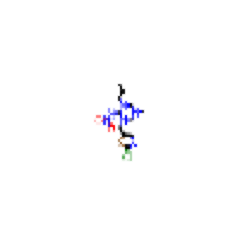 CCCN1CN(C)CN(Cc2cnc(Cl)s2)/C1=N\[N+](=O)[O-]